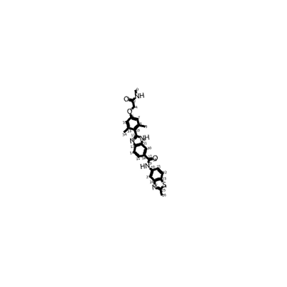 CNC(=O)COc1cc(C)c(-c2nc3ccc(C(=O)Nc4ccc5sc(C)nc5c4)cc3[nH]2)c(C)c1